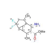 COC(=O)[C@@H]1C(C)C2C3C(C(C)CC(F)(F)C23)[C@@H]1N